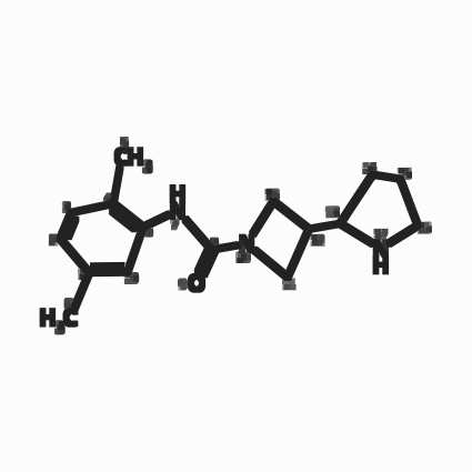 Cc1ccc(C)c(NC(=O)N2CC(C3CCCN3)C2)c1